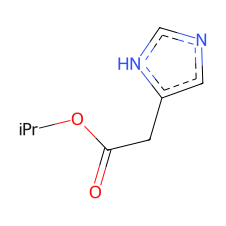 CC(C)OC(=O)Cc1cnc[nH]1